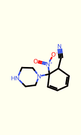 N#CC1C=CC=CC1(N1CCNCC1)[N+](=O)[O-]